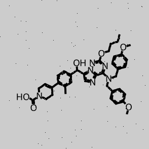 CCCCOc1nc(N(Cc2ccc(OC)cc2)Cc2ccc(OC)cc2)c2ncc(C(O)c3ccc(C4=CCN(C(=O)O)CC4)c(C)c3)n2n1